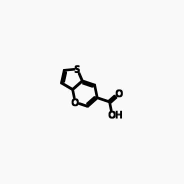 O=C(O)C1=COC2C=CSC2=C1